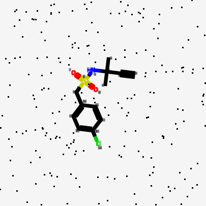 C#CC(C)(C)NS(=O)(=O)Cc1ccc(Cl)cc1